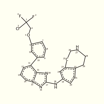 FC(F)(Cl)COc1cccc(-c2cccn3nc(Nc4ccc5c(c4)CCNCC5)nc23)c1